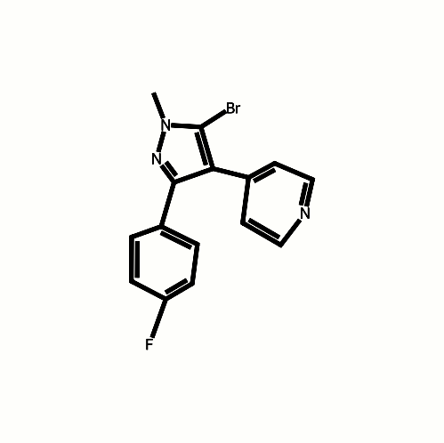 Cn1nc(-c2ccc(F)cc2)c(-c2ccncc2)c1Br